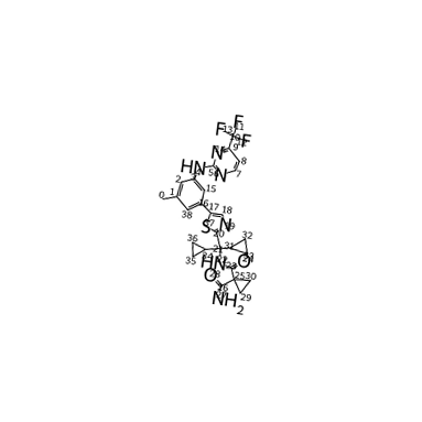 Cc1cc(Nc2nccc(C(F)(F)F)n2)cc(-c2cnc(C(NC(=O)C3(C(N)=O)CC3)(C3CC3)C3CC3)s2)c1